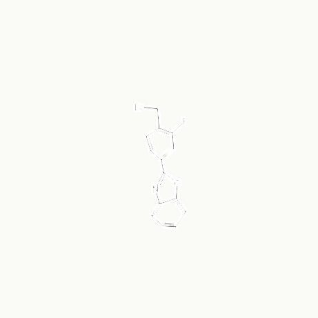 Fc1cc(-c2nc3ccccc3o2)ccc1CBr